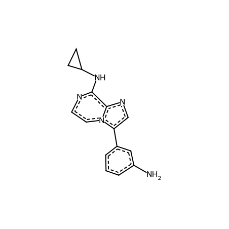 Nc1cccc(-c2cnc3c(NC4CC4)nccn23)c1